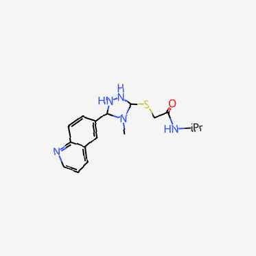 CC(C)NC(=O)CSC1NNC(c2ccc3ncccc3c2)N1C